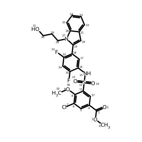 COC(=O)c1cc(Cl)c(OC)c(S(=O)(=O)Nc2cc(-c3cc4ccccc4n3CCCO)c(F)cc2F)c1